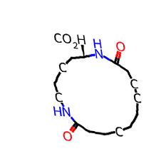 O=C1CCCCCCCCC(=O)N[C@H](C(=O)O)CCCCN1